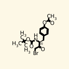 CC(=O)Oc1ccc(C[C@H](NC(=O)OC(C)(C)C)C(=O)CBr)cc1